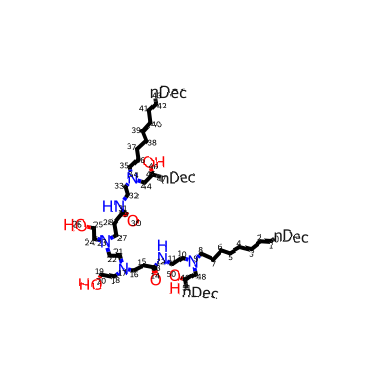 CCCCCCCCCCCCCCCCCCN(CCNC(=O)CCN(CCO)CCN(CCO)CCC(=O)NCCN(CCCCCCCCCCCCCCCCCC)CC(O)CCCCCCCCCC)CC(O)CCCCCCCCCC